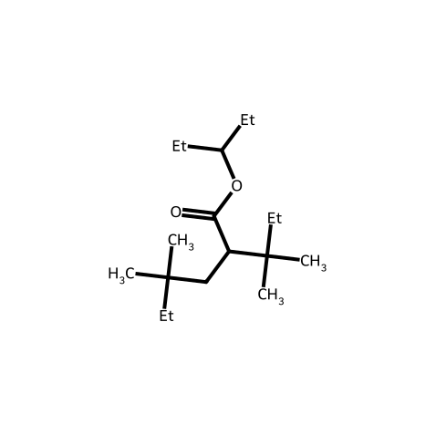 CCC(CC)OC(=O)C(CC(C)(C)CC)C(C)(C)CC